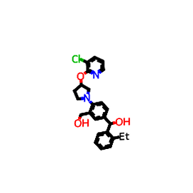 CCc1ccccc1C(O)c1ccc(N2CCC(Oc3ncccc3Cl)C2)c(CO)c1